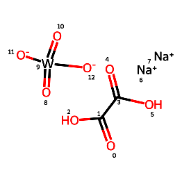 O=C(O)C(=O)O.[Na+].[Na+].[O]=[W](=[O])([O-])[O-]